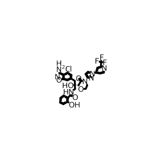 Nc1noc2cc(CC(O)(CNC(=O)c3ccccc3O)[C@H]3OCCN(c4ccn(-c5ccnc(C(F)(F)F)c5)n4)C3=O)cc(Cl)c12